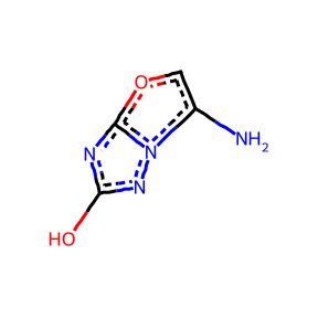 Nc1coc2nc(O)nn12